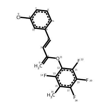 C=C(/C=C/c1cccc(Cl)c1)Oc1c(F)c(C)c(F)c(F)c1F